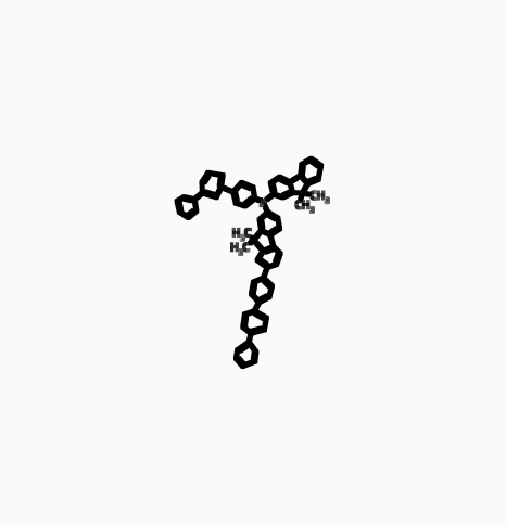 CC1(C)c2ccccc2-c2ccc(N(c3ccc(-c4cccc(-c5ccccc5)c4)cc3)c3ccc4c(c3)C(C)(C)c3cc(-c5ccc(-c6ccc(-c7ccccc7)cc6)cc5)ccc3-4)cc21